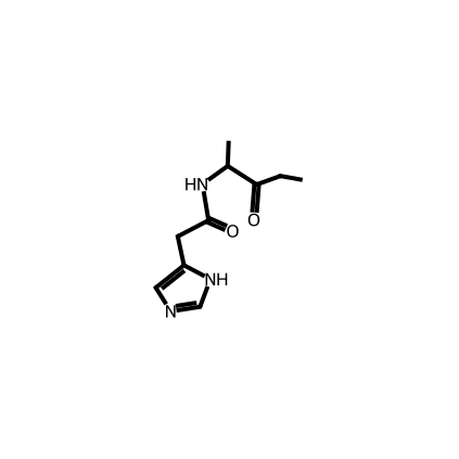 CCC(=O)C(C)NC(=O)Cc1cnc[nH]1